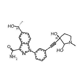 C[C@@H](O)c1ccc2c(c1)c(C(N)=O)nn2-c1cccc(C#C[C@]2(O)CCN(C)C2O)c1